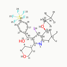 CC1(C)Cc2nc(C3CCOCC3)c([C@H](O)c3ccc(S(F)(F)(F)(F)F)cc3)c(I)c2[C@@H](O[Si](C)(C)C(C)(C)C)C1